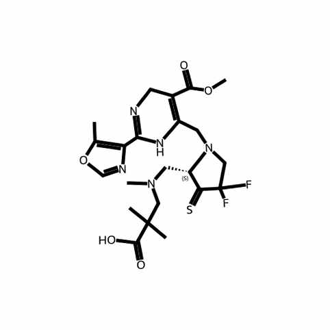 COC(=O)C1=C(CN2CC(F)(F)C(=S)[C@@H]2CN(C)CC(C)(C)C(=O)O)NC(c2ncoc2C)=NC1